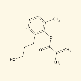 C=C(C)C(=O)Oc1c(CCCO)[c]ccc1C